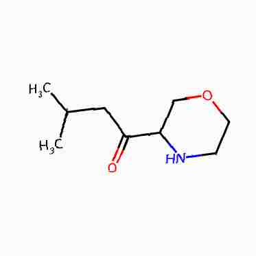 C[C](C)CC(=O)C1COCCN1